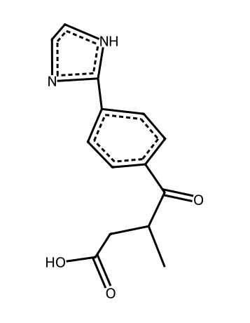 CC(CC(=O)O)C(=O)c1ccc(-c2ncc[nH]2)cc1